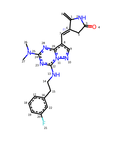 C=C1NC(=O)C/C1=C\c1cnn2c(NCCc3cccc(F)c3)nc(N(C)C)nc12